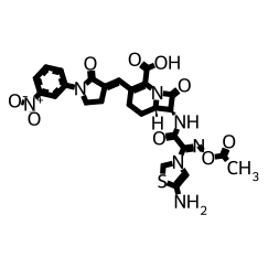 CC(=O)ON=C(C(=O)N[C@@H]1C(=O)N2C(C(=O)O)=C(C=C3CCN(c4cccc([N+](=O)[O-])c4)C3=O)CC[C@H]12)N1C=C(N)SC1